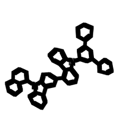 c1ccc(-c2cc(-c3ccccc3)cc(-n3c4ccccc4c4c(-c5ccc6c(c5)c5ccccc5n6-c5cccc6ccccc56)cccc43)c2)cc1